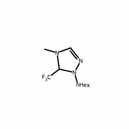 CCCCCCN1N=CN(C)C1C(F)(F)F